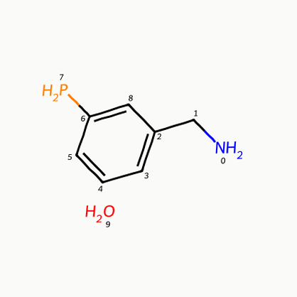 NCc1cccc(P)c1.O